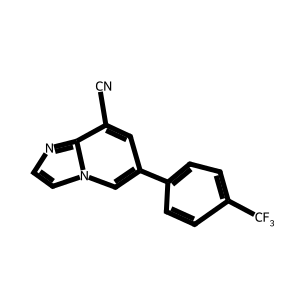 N#Cc1cc(-c2ccc(C(F)(F)F)cc2)cn2ccnc12